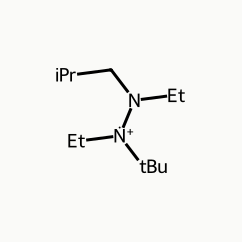 CCN(CC(C)C)[N+](CC)C(C)(C)C